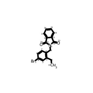 CCc1cc(Br)ccc1CN1C(=O)c2ccccc2C1=O